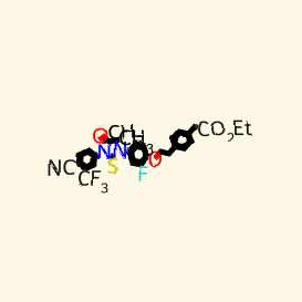 CCOC(=O)Cc1ccc(CCOc2ccc(N3C(=S)N(c4ccc(C#N)c(C(F)(F)F)c4)C(=O)C3(C)C)cc2F)cc1